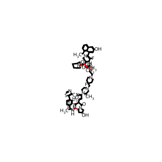 CCc1cccc2cc(O)cc(-c3ncc4c(N5CC6CCC(C5)N6C(=O)OC(C)(C)C)nc(OCCN5CCC(F)(CN6CCN(c7cc(C(C(=O)N8C[C@H](O)C[C@H]8C(=O)NC(C)c8ccc(-c9scnc9C)cc8)C(C)C)on7)[C@@H](C)C6)CC5)nc4c3F)c12